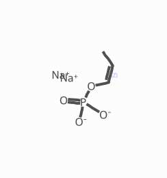 C/C=C\OP(=O)([O-])[O-].[Na+].[Na+]